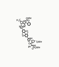 COC[C@H]1C[C@@H](c2ncc(-c3cc4c5c(c3)OCc3cc(-c6cnc([C@@H]7C[C@H](C)CN7C(=O)[C@H](NC(=O)OC)c7ccccc7)[nH]6)cc(c3-5)OC4)[nH]2)N(C(=O)[C@@H](NC(=O)OC)C(C)C)C1